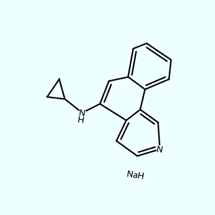 [NaH].c1ccc2c(c1)cc(NC1CC1)c1ccncc12